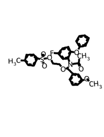 COc1cccc(C(OCCOS(=O)(=O)c2ccc(C)cc2)N(C(C)=O)c2cc(F)ccc2Oc2ccccc2)c1